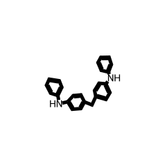 c1ccc(Nc2ccc(Cc3ccc(Nc4ccccc4)cc3)cc2)cc1